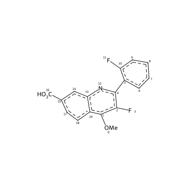 COc1c(F)c(-c2ccccc2F)nc2cc(C(=O)O)ccc12